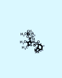 Cc1sc(NS(=O)(=O)c2cccc3nsnc23)c(C(=O)OC(C)(C)C)c1C